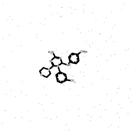 COc1ccc(NC2N=C(N)N=C(N3CCOCC3)N2c2cccc(C(F)(F)F)c2)cc1